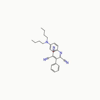 CCCCN(CCCC)c1ccc(/N=C(/C#N)C(=C(C#N)C#N)c2ccccc2)cc1